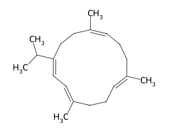 C/C1=C/CC/C(C)=C/CC/C(C)=C/C=C(/C(C)C)CC1